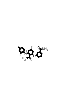 NC(=O)c1cccc(Oc2cc(F)cc(Nc3ccc(I)cc3F)c2C(N)=O)c1